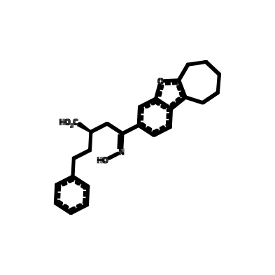 O=C(O)[C@H](CCc1ccccc1)CC(=NO)c1ccc2c3c(oc2c1)CCCCC3